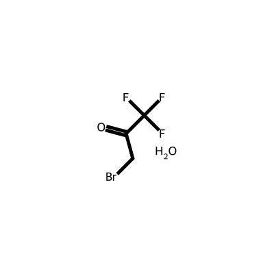 O.O=C(CBr)C(F)(F)F